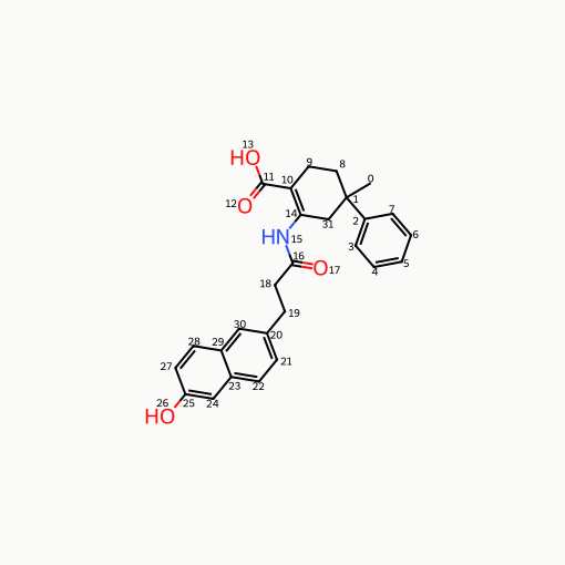 CC1(c2ccccc2)CCC(C(=O)O)=C(NC(=O)CCc2ccc3cc(O)ccc3c2)C1